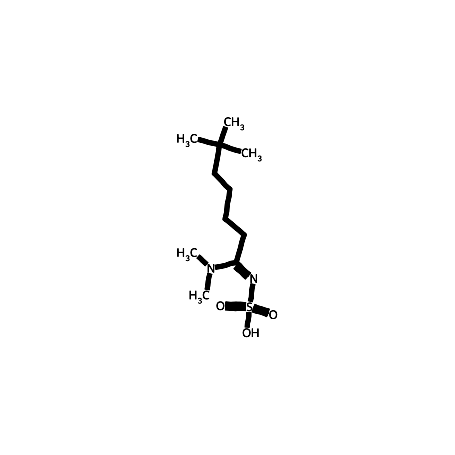 CN(C)/C(CCCCC(C)(C)C)=N\S(=O)(=O)O